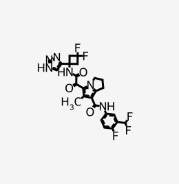 Cc1c(C(=O)Nc2ccc(F)c(C(F)F)c2)c2n(c1C(=O)C(=O)NC1(c3c[nH]nn3)CC(F)(F)C1)CCC2